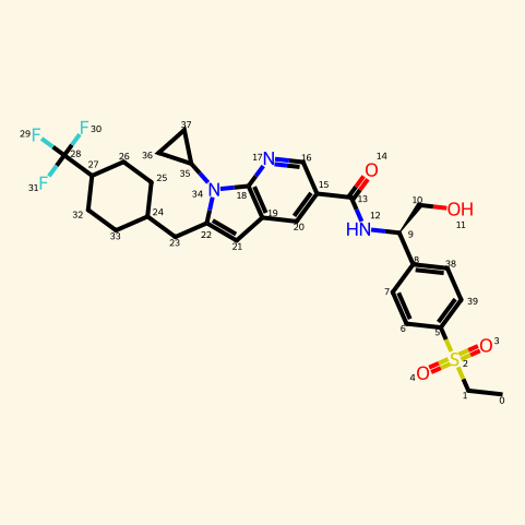 CCS(=O)(=O)c1ccc([C@H](CO)NC(=O)c2cnc3c(c2)cc(CC2CCC(C(F)(F)F)CC2)n3C2CC2)cc1